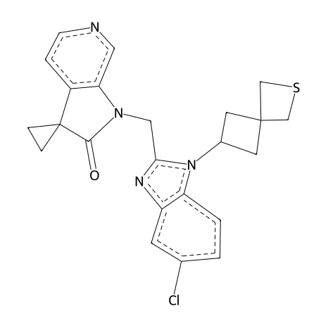 O=C1N(Cc2nc3cc(Cl)ccc3n2C2CC3(CSC3)C2)c2cnccc2C12CC2